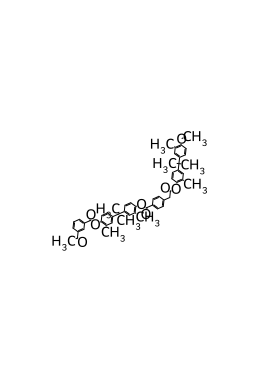 COc1ccc(C(C)(C)c2ccc(OC(=O)Cc3ccc(C(=O)Oc4ccc(C(C)(C)c5ccc(OC(=O)c6cccc(C(C)=O)c6)c(C)c5)cc4C)cc3)c(C)c2)cc1C